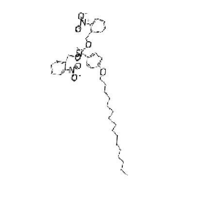 CCCCCCCCCCCCCCCCOc1ccc([Si](C)(OCc2ccccc2[N+](=O)[O-])OCc2ccccc2[N+](=O)[O-])cc1